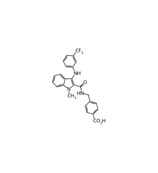 Cn1c(C(=O)NCc2ccc(C(=O)O)cc2)c(Nc2cccc(C(F)(F)F)c2)c2ccccc21